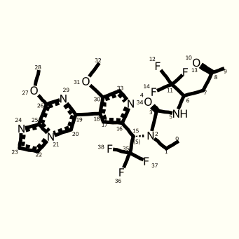 CCN(C(=O)NC(CC(C)=O)C(F)(F)F)[C@@H](c1cc(-c2cn3ccnc3c(OC)n2)c(OC)cn1)C(F)(F)F